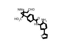 CNC1(CC=O)CC1(C(=O)O)c1ccc(C(=O)Nc2cc(-c3cccs3)ccc2N)cc1